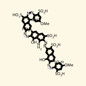 COc1ccc(/N=N\c2c(S(=O)(=O)O)cc3cc(/N=N\c4c(S(=O)(=O)O)cc5cc(S(=O)(=O)O)c(N=Nc6cc7c(O)c(/N=N\c8ccc(OC)cc8S(=O)(=O)O)c(S(=O)(=O)O)cc7cc6S(=O)(=O)O)c(N)c5c4O)ccc3c2O)c(S(=O)(=O)O)c1